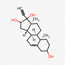 C#CC1(O)C(O)C[C@H]2[C@@H]3CC=C4CC(O)CC[C@]4(C)[C@@H]3CC[C@@]21C